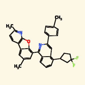 Cc1ccc(-c2cc3c(C4CCC(F)(F)C4)cccc3c(-c3cc(C)cc4c3oc3nc(C)ccc34)n2)cc1